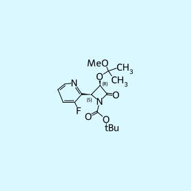 COC(C)(C)O[C@H]1C(=O)N(C(=O)OC(C)(C)C)[C@H]1c1ncccc1F